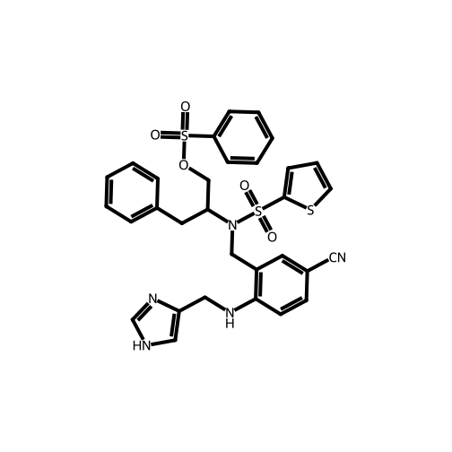 N#Cc1ccc(NCc2c[nH]cn2)c(CN(C(COS(=O)(=O)c2ccccc2)Cc2ccccc2)S(=O)(=O)c2cccs2)c1